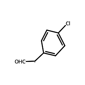 O=C[CH]c1ccc(Cl)cc1